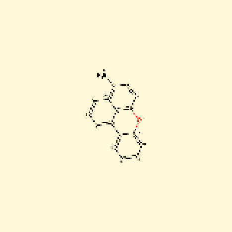 Bc1ccc2c3c(cccc13)-c1ccccc1O2